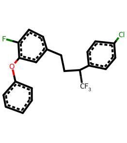 Fc1ccc(CCC(c2ccc(Cl)cc2)C(F)(F)F)cc1Oc1ccccc1